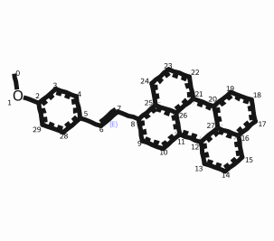 COc1ccc(/C=C/c2ccc3c4cccc5cccc(c6cccc2c63)c54)cc1